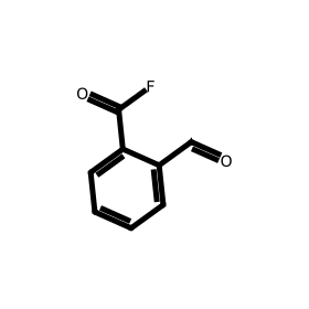 O=[C]c1ccccc1C(=O)F